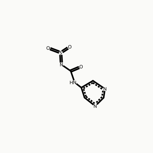 O=C(N=S(=O)=O)Nc1cncnc1